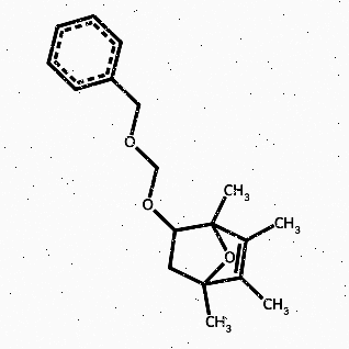 CC1=C(C)C2(C)OC1(C)CC2OCOCc1ccccc1